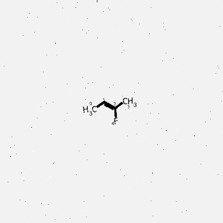 C/[C]=C(/C)F